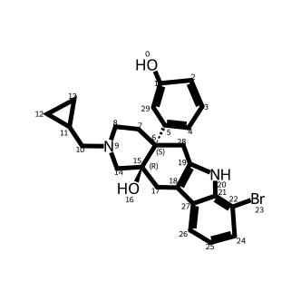 Oc1cccc([C@@]23CCN(CC4CC4)C[C@@]2(O)Cc2c([nH]c4c(Br)cccc24)C3)c1